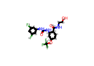 O=C(Nc1cc(F)cc(F)c1)Nc1cc(OC(F)(F)F)ccc1C(=O)NCCO